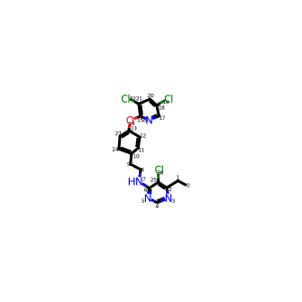 CCc1ncnc(NCCc2ccc(Oc3ncc(Cl)cc3Cl)cc2)c1Cl